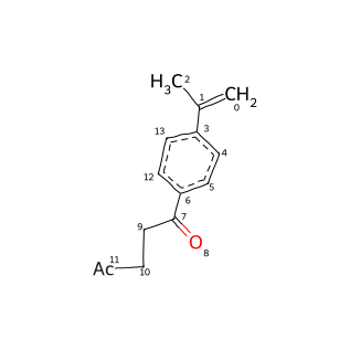 C=C(C)c1ccc(C(=O)CCC(C)=O)cc1